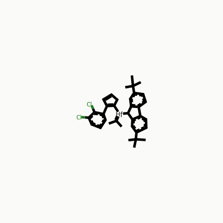 C[C](C)=[Hf]([C]1=C(c2cccc(Cl)c2Cl)C=CC1)[CH]1c2cc(C(C)(C)C)ccc2-c2ccc(C(C)(C)C)cc21